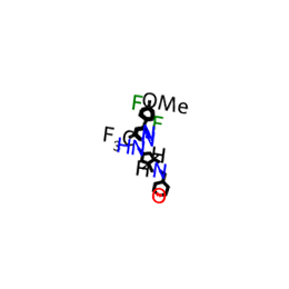 COc1cc(F)c(-c2cc(C(F)(F)F)c(NC3C[C@@H]4CN(CC5CCOCC5)C[C@@H]4C3)nn2)cc1F